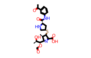 CC(=O)c1cccc(NC(=O)[C@@H]2C[C@H](SC3C(C(=O)O)=N[C@@H]([C@H](OC=O)[C@@H](C)O)[C@H]3C)CN2)c1